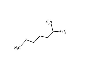 [CH2]CCCCC(C)N